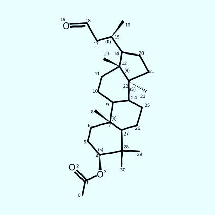 CC(=O)O[C@H]1CC[C@]2(C)C3CC[C@]4(C)C([C@H](C)CC=O)CC[C@@]4(C)C3CCC2C1(C)C